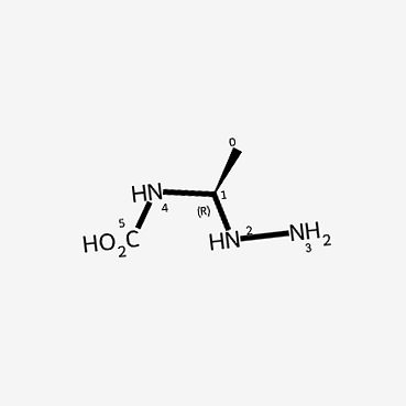 C[C@@H](NN)NC(=O)O